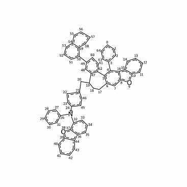 c1ccc(-c2c3c(cc4oc5ccccc5c24)CCC(Cc2ccc(N(c4ccccc4)c4cccc5c4oc4ccccc45)cc2)c2cc(-c4cccc5ccccc45)ccc2-3)cc1